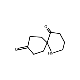 O=C1CCC2(CC1)NCCCC2=O